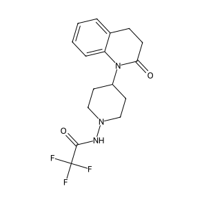 O=C1CCc2ccccc2N1C1CCN(NC(=O)C(F)(F)F)CC1